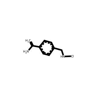 C=C(N)c1ccc(CNCl)cc1